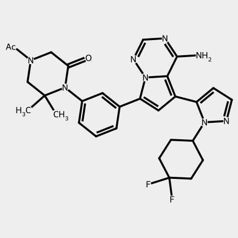 CC(=O)N1CC(=O)N(c2cccc(-c3cc(-c4ccnn4C4CCC(F)(F)CC4)c4c(N)ncnn34)c2)C(C)(C)C1